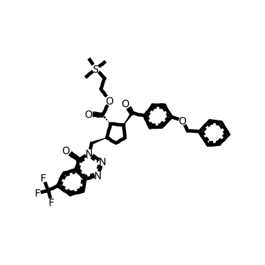 CS(C)(C)CCOC(=O)[C@H]1[C@H](Cn2nnc3ccc(C(F)(F)F)cc3c2=O)CC[C@@H]1C(=O)c1ccc(OCc2ccccc2)cc1